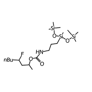 CCCCC(F)CC(C)OC(=O)NCCC[Si](C)(O[Si](C)(C)C)O[Si](C)(C)C